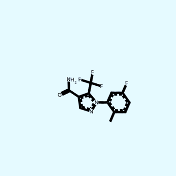 Cc1ccc(F)cc1-n1ncc(C(N)=O)c1C(F)(F)F